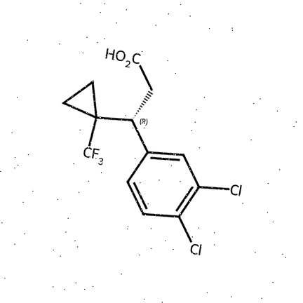 O=C(O)C[C@H](c1ccc(Cl)c(Cl)c1)C1(C(F)(F)F)CC1